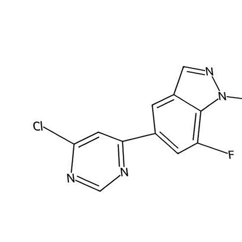 Cn1ncc2cc(-c3cc(Cl)ncn3)cc(F)c21